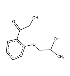 CC(O)COc1ccccc1C(=O)CO